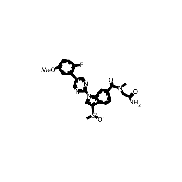 COc1ccc(F)c(-c2cnc(-n3cc([S+](C)[O-])c4ccc(C(=O)N(C)CC(N)=O)cc43)nc2)c1